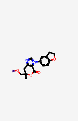 CC1(COI)Cc2ncn(-c3ccc4c(c3)CCO4)c2C(=O)O1